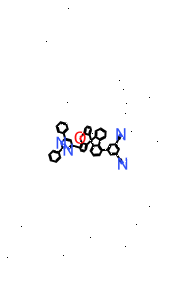 N#Cc1cc(C#N)cc(-c2cccc3c2-c2ccccc2C32c3ccccc3Oc3c(-c4cc(-c5ccccc5)nc(-c5ccccc5)n4)cccc32)c1